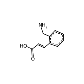 NCc1ccccc1C=CC(=O)O